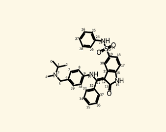 CC(C)N(C)Cc1ccc(NC(=C2C(=O)Nc3ccc(S(=O)(=O)Nc4ccccc4)cc32)c2ccccc2)cc1